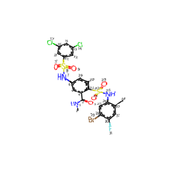 CNC(=O)c1cc(NS(=O)(=O)c2cc(Cl)cc(Cl)c2)ccc1S(=O)(=O)Nc1cc(Br)c(F)cc1C